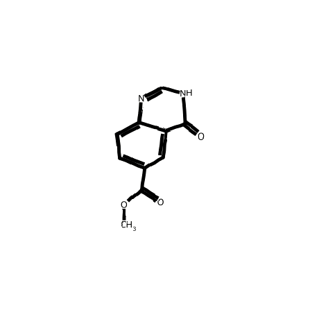 COC(=O)c1ccc2nc[nH]c(=O)c2c1